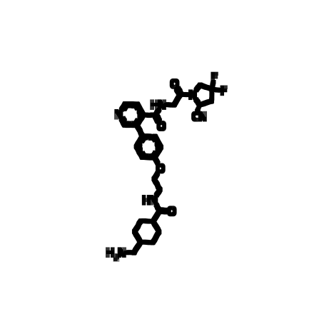 N#C[C@@H]1CC(F)(F)CN1C(=O)CNC(=O)c1ccncc1-c1ccc(OCCNC(=O)C2CCC(CN)CC2)cc1